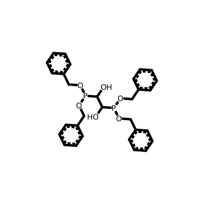 OC(C(O)P(OCc1ccccc1)OCc1ccccc1)P(OCc1ccccc1)OCc1ccccc1